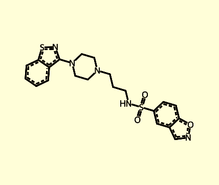 O=S(=O)(NCCCN1CCN(c2nsc3ccccc23)CC1)c1ccc2oncc2c1